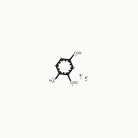 Cc1ccc(C(=O)[O-])cc1C(=O)[O-].[K+].[K+]